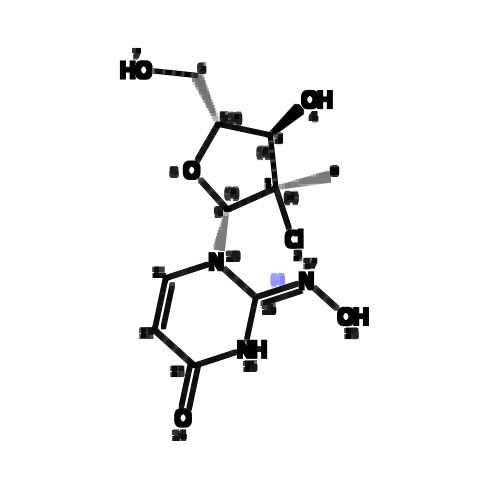 C[C@@]1(Cl)[C@H](O)[C@@H](CO)O[C@H]1n1ccc(=O)[nH]/c1=N\O